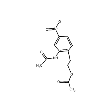 CC(=O)Nc1cc([N+](=O)[O-])ccc1CCOC(C)=O